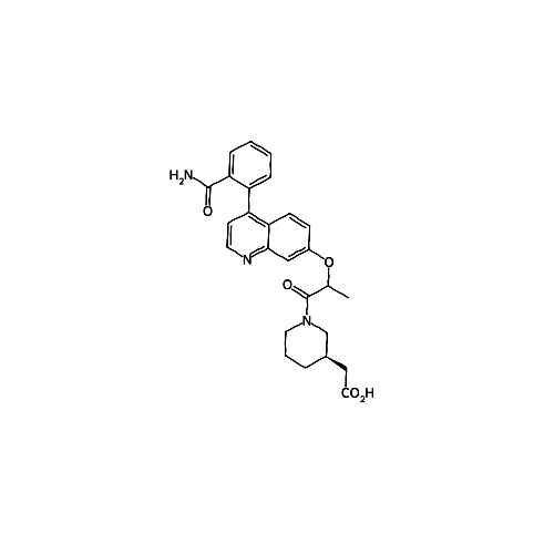 CC(Oc1ccc2c(-c3ccccc3C(N)=O)ccnc2c1)C(=O)N1CCC[C@H](CC(=O)O)C1